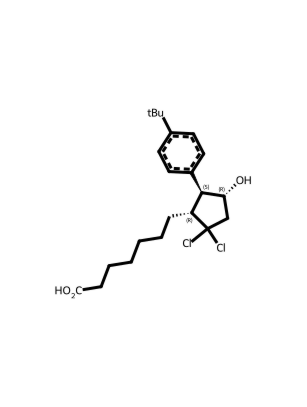 CC(C)(C)c1ccc([C@H]2[C@H](O)CC(Cl)(Cl)[C@@H]2CCCCCCC(=O)O)cc1